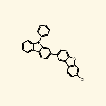 Clc1ccc2c(c1)oc1ccc(-c3ccc4c5ccccc5n(-c5ccccc5)c4c3)cc12